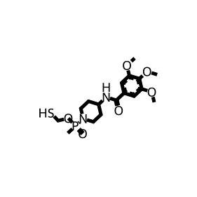 COc1cc(C(=O)NC2CCN(P(C)(=O)OCS)CC2)cc(OC)c1OC